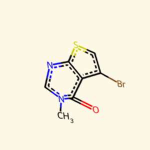 Cn1cnc2scc(Br)c2c1=O